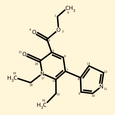 CCOC(=O)c1cc(-c2ccncc2)c(CC)n(CC)c1=O